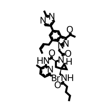 C/C=C\Cc1cc(-c2cnc(C)nc2)cc2c(C(C)=O)nn(CC(=O)N3[C@H](C(=O)Nc4nc(Br)ccc4C)C[C@@]4(CNC(=O)CCCC)C[C@@H]34)c12